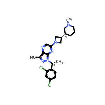 CCCN1CCC[C@H](C2CN(c3cnc4c(C#N)nn([C@H](C)c5ccc(Cl)cc5Cl)c4n3)C2)C1